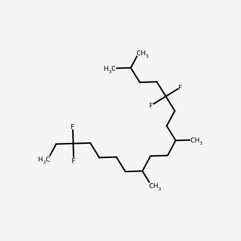 CCC(F)(F)CCCCC(C)CCC(C)CCC(F)(F)CCC(C)C